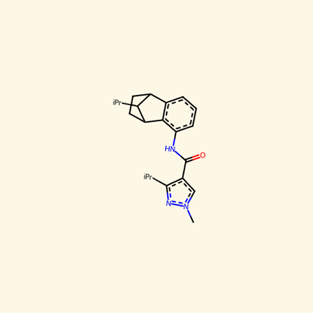 CC(C)c1nn(C)cc1C(=O)Nc1cccc2c1C1CCC2C1C(C)C